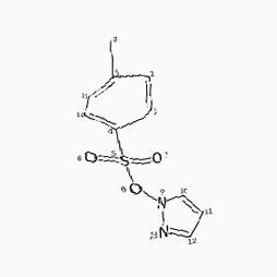 Cc1ccc(S(=O)(=O)On2cccn2)cc1